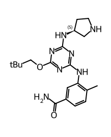 Cc1ccc(C(N)=O)cc1Nc1nc(N[C@H]2CCNC2)nc(OCC(C)(C)C)n1